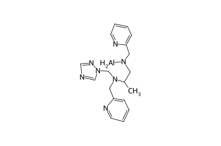 CC(C[N]([AlH2])Cc1ccccn1)N(Cc1ccccn1)Cn1cncn1